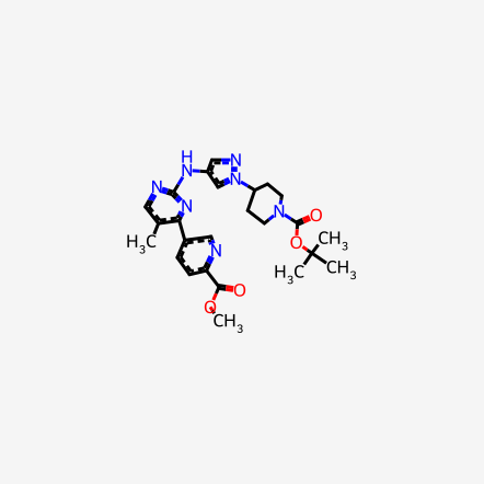 COC(=O)c1ccc(-c2nc(Nc3cnn(C4CCN(C(=O)OC(C)(C)C)CC4)c3)ncc2C)cn1